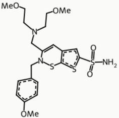 COCCN(CCOC)CC1=Cc2cc(S(N)(=O)=O)sc2SN1Cc1ccc(OC)cc1